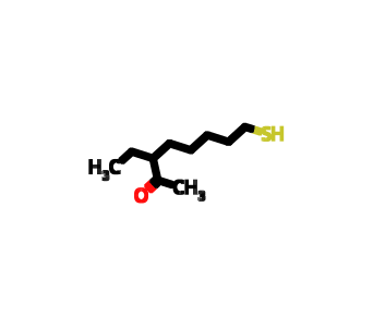 CCC(CCCCCS)C(C)=O